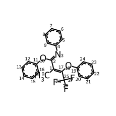 CC(C(=Nc1ccccc1)Oc1ccccc1)=C(Oc1ccccc1)C(F)(F)F